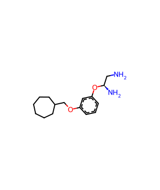 NC[C@@H](N)Oc1cccc(OCC2CCCCCC2)c1